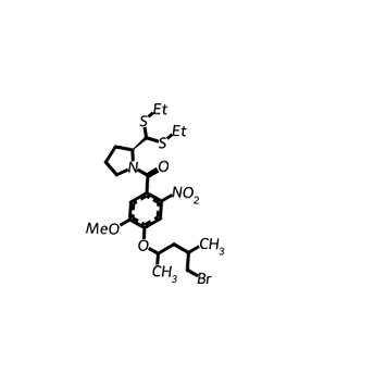 CCSC(SCC)[C@@H]1CCCN1C(=O)c1cc(OC)c(OC(C)CC(C)CBr)cc1[N+](=O)[O-]